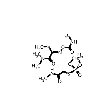 CNC(=O)CSP(=O)(OC)OC.CNC(=O)ON=C(SC)C(=O)N(C)C